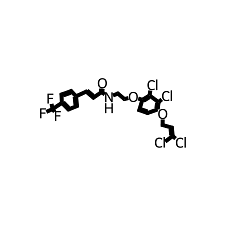 O=C(C=Cc1ccc(C(F)(F)F)cc1)NCCOc1ccc(OCC=C(Cl)Cl)c(Cl)c1Cl